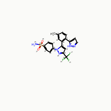 Cc1ccc(-c2ccn[nH]2)c(-c2cc(C(F)(F)F)nn2-c2ccc(S(N)(=O)=O)cc2)c1